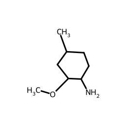 COC1CC(C)CCC1N